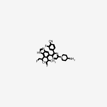 CC(CF)c1c(-c2ncc(N3CCC(N)CC3)nc2-c2ccc(C#N)c(F)c2)cc2nc[nH]c2c1C(C)CF